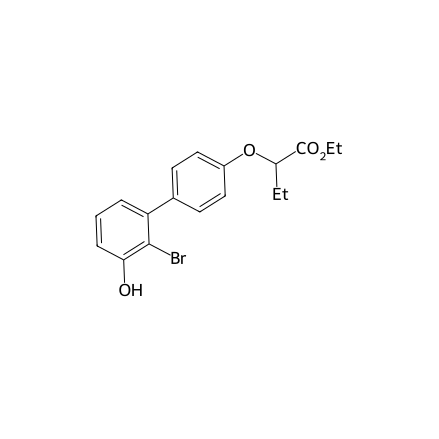 CCOC(=O)C(CC)Oc1ccc(-c2cccc(O)c2Br)cc1